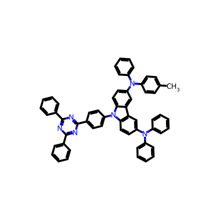 Cc1ccc(N(c2ccccc2)c2ccc3c(c2)c2cc(N(c4ccccc4)c4ccccc4)ccc2n3-c2ccc(-c3nc(-c4ccccc4)nc(-c4ccccc4)n3)cc2)cc1